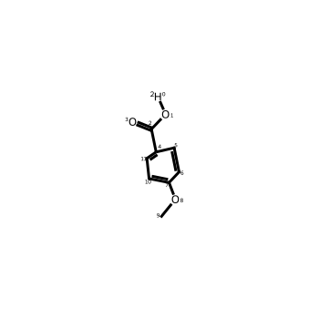 [2H]OC(=O)c1ccc(OC)cc1